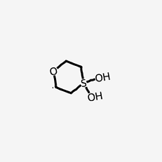 OS1(O)C[CH]OCC1